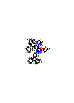 c1ccc2c(c1)oc1c(-n3c4ccccc4c4c5ccccc5c5c6ccccc6sc5c43)nc(-c3ccc4c5ccccc5c5ccccc5c4c3)nc12